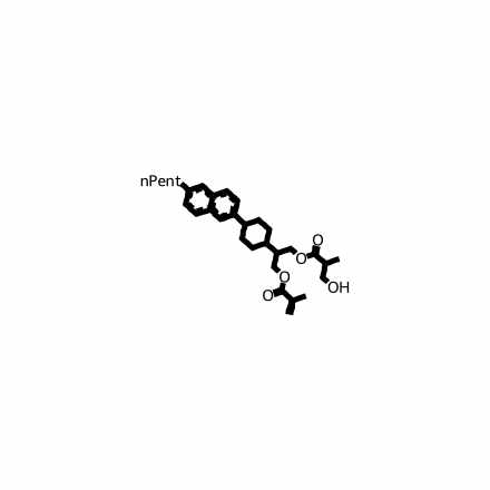 C=C(C)C(=O)OCC(COC(=O)C(C)CO)C1CCC(c2ccc3cc(CCCCC)ccc3c2)CC1